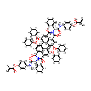 C=C(C)C(=O)Oc1ccc(N(CC)C(=O)C(c2ccccc2)N2C(=O)c3cc(Oc4ccccc4)c4c5c(Oc6ccccc6)cc6c7c(cc(Oc8ccccc8)c(c8c(Oc9ccccc9)cc(c3c48)C2=O)c75)C(=O)N(C(C(=O)N(CC)c2ccc(OC(=O)C(=C)C)cc2)c2ccccc2)C6=O)cc1